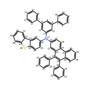 c1ccc(-c2cc(-c3ccccc3)cc(N(c3ccc4c(c3)c(-c3ccccc3)c(-c3ccccc3)c3ccccc34)c3ccc4sc5ccccc5c4c3)c2)cc1